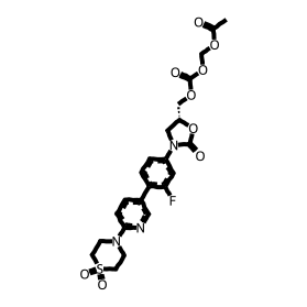 CC(=O)OCOC(=O)OC[C@H]1CN(c2ccc(-c3ccc(N4CCS(=O)(=O)CC4)nc3)c(F)c2)C(=O)O1